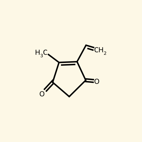 C=CC1=C(C)C(=O)CC1=O